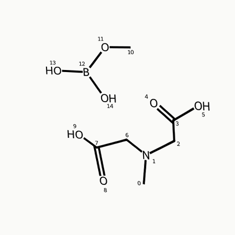 CN(CC(=O)O)CC(=O)O.COB(O)O